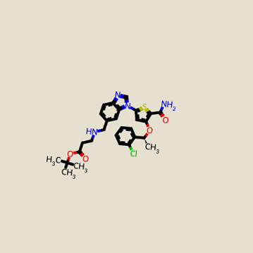 C[C@@H](Oc1cc(-n2cnc3ccc(CNCCC(=O)OC(C)(C)C)cc32)sc1C(N)=O)c1ccccc1Cl